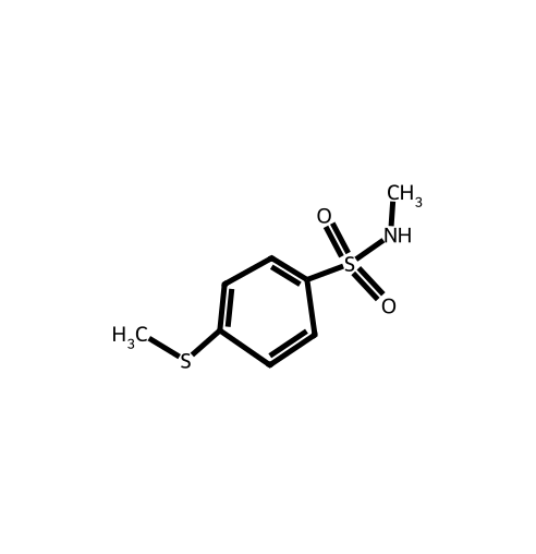 CNS(=O)(=O)c1ccc(SC)cc1